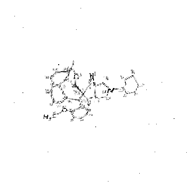 COC[C@@](C#N)(C(=O)N1CCN(C2CCCCC2)CC1)C(c1ccccc1OC)c1cccc2ccccc12